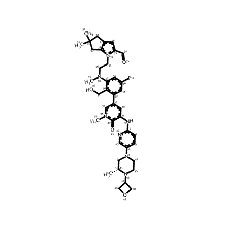 C[C@@H]1CN(c2ccc(Nc3cc(-c4cc(F)cc(N(C)CCn5c(C=O)cc6c5CC(C)(C)C6)c4CO)cn(C)c3=O)nc2)CCN1C1COC1